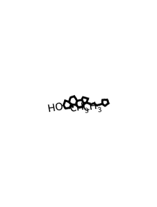 CC12CCC3C(CCC4C[C@@H](O)CCC43C)C1CCC2CCCC1CCCC1